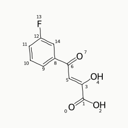 O=C(O)C(O)=CC(=O)c1cccc(F)c1